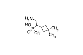 CC1(C)CC(C(CN)P(=O)(O)O)C1